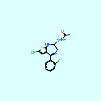 CC(=O)NNC1CN=C(c2ccccc2Cl)c2cc(Cl)sc2N1